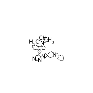 CCN(C(=O)c1ccccc1Oc1cncnc1N1CC2(CCN(CC3CCCCC3)CC2)C1)C(C)C